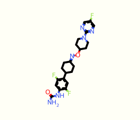 NC(=O)Nc1cc(F)c(C2CCC(=NOC3CCN(c4ncc(F)cn4)CC3)CC2)cc1F